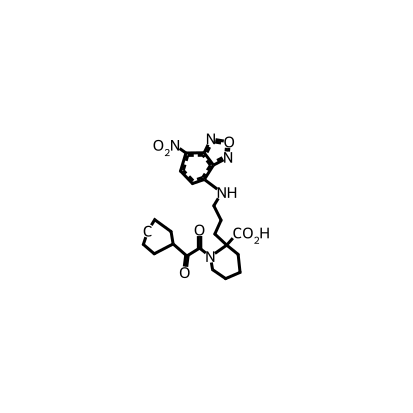 O=C(C(=O)N1CCCCC1(CCCNc1ccc([N+](=O)[O-])c2nonc12)C(=O)O)C1CCCCC1